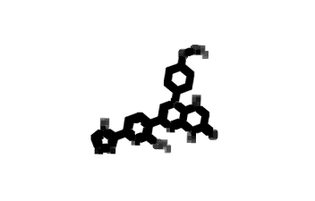 COC1CCC(N2C=C(c3ccc(-c4nnc[nH]4)nc3C)N=C3NC(=O)CNC32)CC1